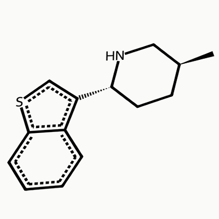 C[C@H]1CC[C@H](c2csc3ccccc23)NC1